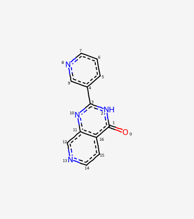 O=c1[nH]c(-c2cccnc2)nc2cnccc12